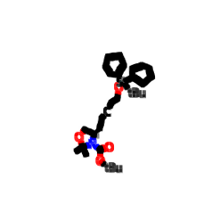 CC(C)(C)OC(=O)N1[C@H](CCCCCO[Si](c2ccccc2)(c2ccccc2)C(C)(C)C)COC1(C)C